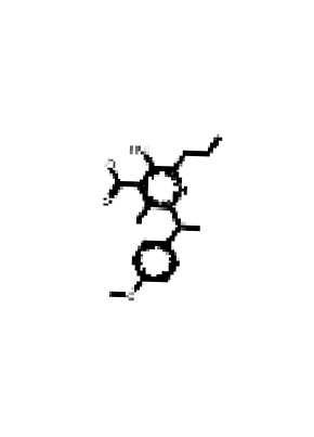 CCCc1nc(C(C)c2ccc(OC)cc2)c(C)c(C(=O)O)c1O